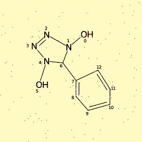 ON1N=NN(O)C1c1ccccc1